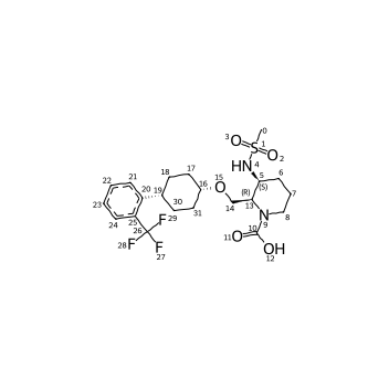 CS(=O)(=O)N[C@H]1CCCN(C(=O)O)[C@H]1CO[C@H]1CC[C@@H](c2ccccc2C(F)(F)F)CC1